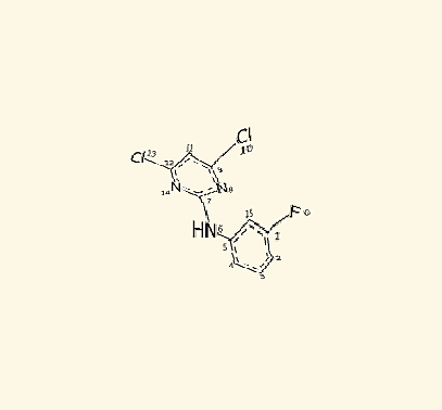 Fc1cccc(Nc2nc(Cl)cc(Cl)n2)c1